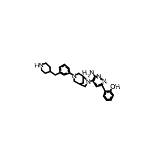 Nc1nnc(-c2ccccc2O)cc1N1CC2CC1CN(c1cccc(CC3CCNCC3)c1)C2